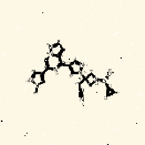 Cn1cc(-c2cn3nccc3c(-c3cnn(C4(CC#N)CN([S+]([O-])C5CC5)C4)c3)n2)cn1